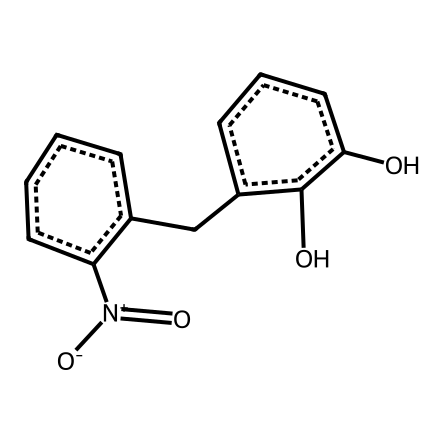 O=[N+]([O-])c1ccccc1Cc1cccc(O)c1O